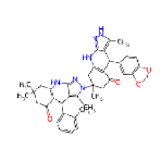 Cc1[nH]nc2c1C(c1ccc3c(c1)OCO3)C1=C(CC(C)(n3nc4c(c3C)C(c3ccccc3C(F)(F)F)C3=C(CC(C)(C)CC3=O)N4)CC1=O)N2